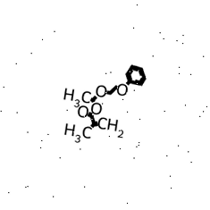 C=C(C)C(=O)OC(C)OCCOc1ccccc1